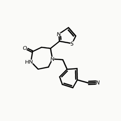 N#Cc1cccc(CN2CCNC(=O)CC2c2nccs2)c1